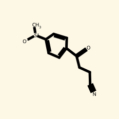 C[S+]([O-])c1ccc(C(=O)CCC#N)cc1